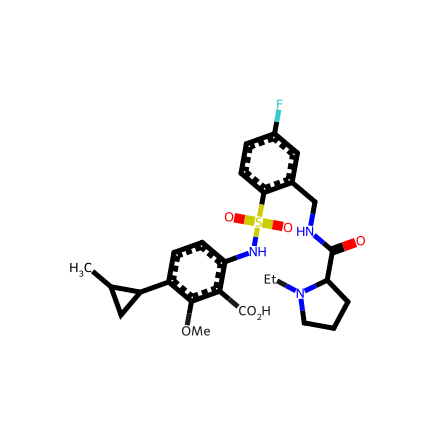 CCN1CCCC1C(=O)NCc1cc(F)ccc1S(=O)(=O)Nc1ccc(C2CC2C)c(OC)c1C(=O)O